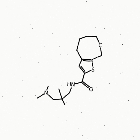 CN(C)CC(C)(C)CNC(=O)c1cc2c(s1)CCCCCC2